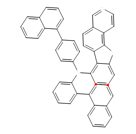 c1ccc(N(c2ccc(-c3cccc4ccccc34)cc2)c2cccc3oc4c5ccncc5ccc4c23)c(-c2cccc3ccccc23)c1